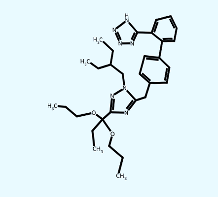 CCCOC(CC)(OCCC)c1nc(Cc2ccc(-c3ccccc3-c3nnn[nH]3)cc2)n(CC(CC)CC)n1